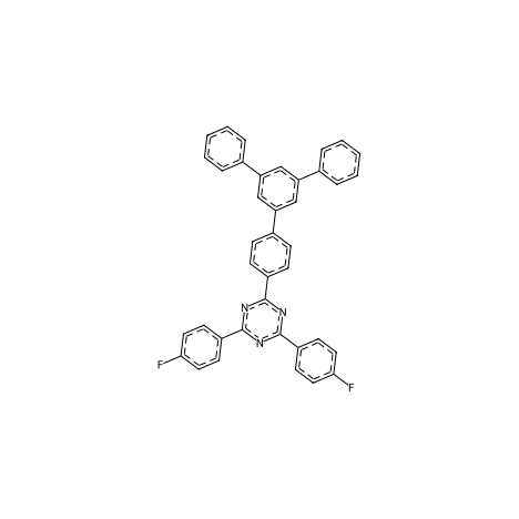 Fc1ccc(-c2nc(-c3ccc(F)cc3)nc(-c3ccc(-c4cc(-c5ccccc5)cc(-c5ccccc5)c4)cc3)n2)cc1